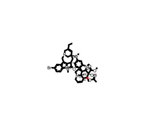 CCC1=C[C@H]2CN(C1)Cc1c([nH]c3ccc(Br)cc13)[C@@](C(=O)OC)(c1cc3c(cc1OC)N(C)[C@@H]1C34CCN3CC=C[C@](CC)([C@H]34)[C@@H](OC(C)=O)[C@]1(O)C(=O)OC)C2